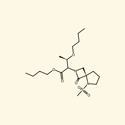 CCCCOC(=O)C([C@@H](C)OCCCC)N1C[C@]2(CCCN2S(C)(=O)=O)C1=O